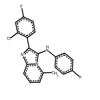 Cc1cccc2nc(-c3ccc(F)cc3Cl)c(Nc3ccc(F)cc3)n12